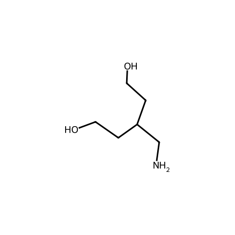 NCC(CCO)CCO